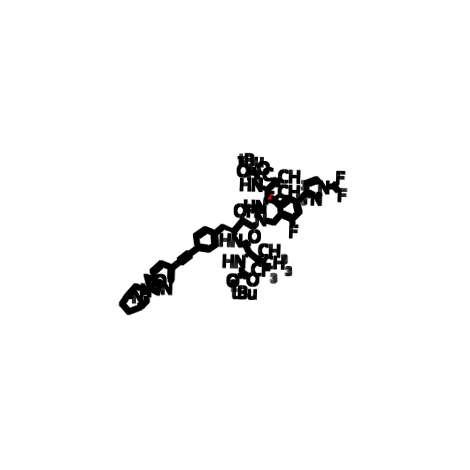 CC(C)(C)OC(=O)N[C@H](C(=O)N[C@@H](Cc1ccc(C#Cc2ccc(N3CC4CCC(C3)N4C3COC3)nc2)cc1)[C@@H](O)CN(Cc1c(F)cc(-c2ccn(C(F)F)n2)cc1F)NC(=O)[C@@H](NC(=O)OC(C)(C)C)C(C)(C)C(F)(F)F)C(C)(C)C(F)(F)F